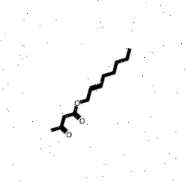 CCCCC/C=C/COC(=O)CC(C)=O